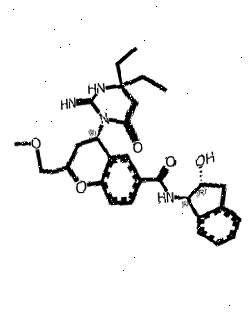 CCC1(CC)CC(=O)N([C@@H]2CC(COC)Oc3ccc(C(=O)N[C@@H]4c5ccccc5C[C@H]4O)cc32)C(=N)N1